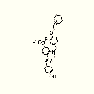 CCN(Cc1ccc(OCCN2CCCCC2)c(F)c1)c1cc(OC)ccc1/C=C/c1ccc(O)cc1